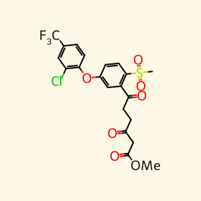 COC(=O)CC(=O)CCC(=O)c1cc(Oc2ccc(C(F)(F)F)cc2Cl)ccc1S(C)(=O)=O